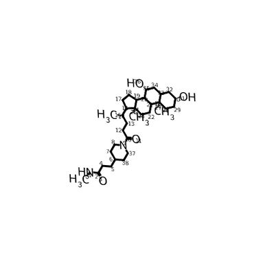 CNC(=O)CCC1CCN(C(=O)CC[C@@H](C)C2CCC3C4C(CC[C@@]32C)[C@@]2(C)CC[C@@H](O)CC2C[C@H]4O)CC1